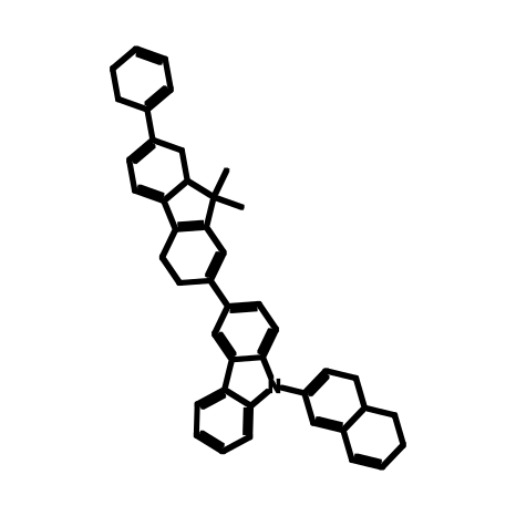 CC1(C)C2=C(CCC(c3ccc4c(c3)c3ccccc3n4C3=CCC4CCC=CC4=C3)=C2)C2=CC=C(C3=CC=CCC3)CC21